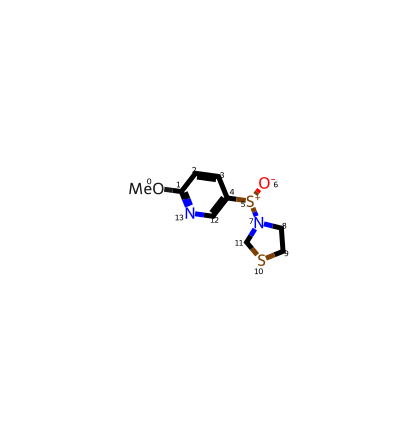 COc1ccc([S+]([O-])N2CCSC2)cn1